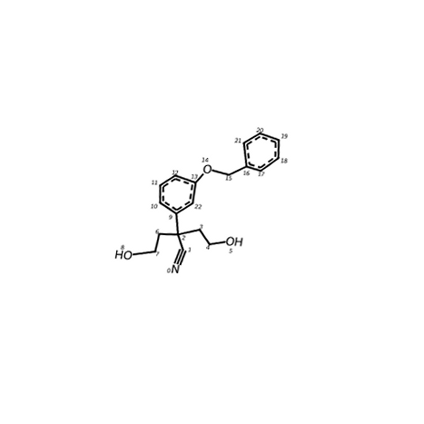 N#CC(CCO)(CCO)c1cccc(OCc2ccccc2)c1